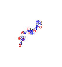 CCC(C)C(NC(=S)NC)C(=O)NCCN1CCOC(CCC(C)C(NC(=O)NC)C(=O)NCCN2CCOC(CCC(C)C(NC(C)=O)C(=O)NCCN3CCOCC3)C2)C1